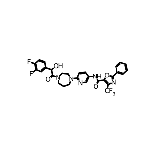 O=C(Nc1ccc(N2CCCN(C(=O)C(O)c3ccc(F)c(F)c3)CC2)nc1)c1oc(-c2ccccc2)nc1C(F)(F)F